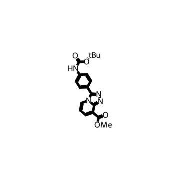 COC(=O)c1cccn2c(-c3ccc(NC(=O)OC(C)(C)C)cc3)nnc12